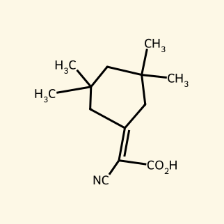 CC1(C)CC(=C(C#N)C(=O)O)CC(C)(C)C1